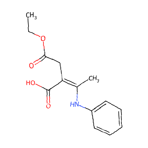 CCOC(=O)C/C(C(=O)O)=C(\C)Nc1ccccc1